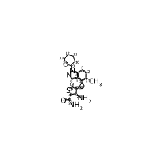 Cc1ccc2c(cnn2C2CCCCO2)c1Oc1csc(C(N)=O)c1N